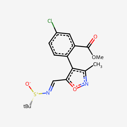 COC(=O)c1cc(Cl)ccc1-c1c(C)noc1/C=N/[S@@+]([O-])C(C)(C)C